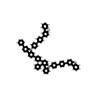 c1ccc(-c2ccc3c4ccc(-c5ccc(-c6ccc7c(c6-c6ccccc6)c6ccccc6n7-c6ccc(-c7ccc(-c8ccc9oc%10ccccc%10c9c8)cc7)cc6)cc5)cc4n(-c4ccc(-c5ccc(-c6ccc7oc8ccccc8c7c6)cc5)cc4)c3c2)cc1